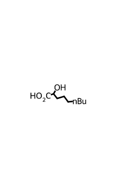 CCCCCCCC(O)C(=O)O